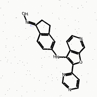 O/N=C1\CCc2cc(Nc3c(-c4ccncn4)oc4cnccc34)ccc21